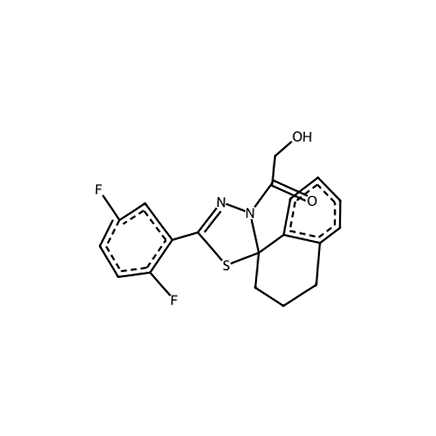 O=C(CO)N1N=C(c2cc(F)ccc2F)SC12CCCc1ccccc12